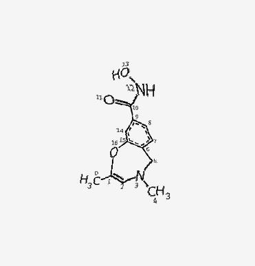 CC1=CN(C)Cc2ccc(C(=O)NO)cc2O1